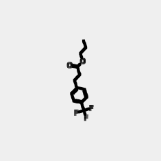 CCCOC(=O)CCc1ccc(C(F)(F)F)cc1